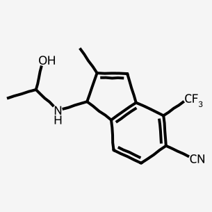 CC1=Cc2c(ccc(C#N)c2C(F)(F)F)C1NC(C)O